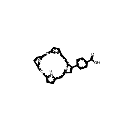 O=C(O)c1ccc(C2=Cc3cc4ccc(cc5nc(cc6ccc(cc2n3)[nH]6)C=C5)[nH]4)cc1